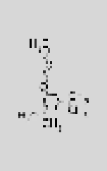 CCCOCCOc1cc(C(C)C)cc(C(C)C)c1